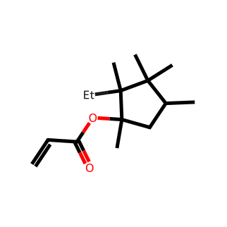 C=CC(=O)OC1(C)CC(C)C(C)(C)C1(C)CC